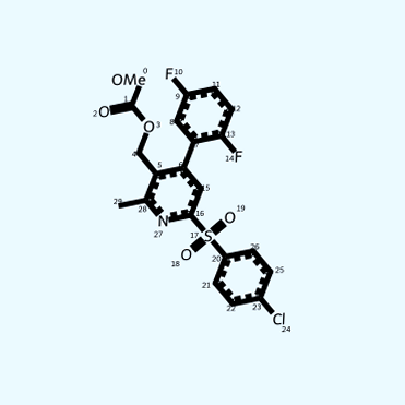 COC(=O)OCc1c(-c2cc(F)ccc2F)cc(S(=O)(=O)c2ccc(Cl)cc2)nc1C